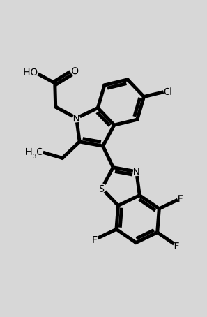 CCc1c(-c2nc3c(F)c(F)cc(F)c3s2)c2cc(Cl)ccc2n1CC(=O)O